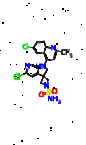 NS(=O)(=O)N1CC(CNc2cc(C(F)(F)F)nc3ccc(Cl)cc23)(c2ccnc(Cl)c2)C1